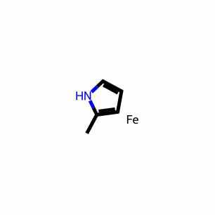 Cc1ccc[nH]1.[Fe]